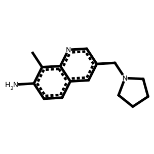 Cc1c(N)ccc2cc(CN3CCCC3)cnc12